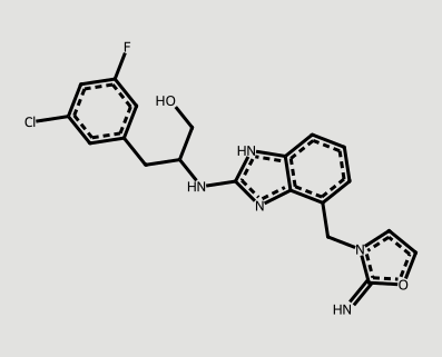 N=c1occn1Cc1cccc2[nH]c(NC(CO)Cc3cc(F)cc(Cl)c3)nc12